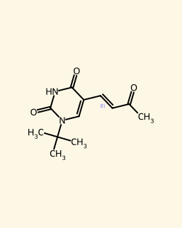 CC(=O)/C=C/c1cn(C(C)(C)C)c(=O)[nH]c1=O